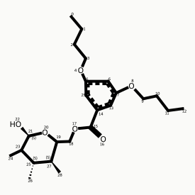 CCCCOc1cc(OCCCC)cc(C(=O)OCC2O[C@H](O)C(C)[C@@H](C)[C@@H]2C)c1